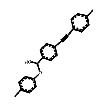 Cc1ccc(C#Cc2ccc(C(O)Oc3ccc(C)cc3)cc2)cc1